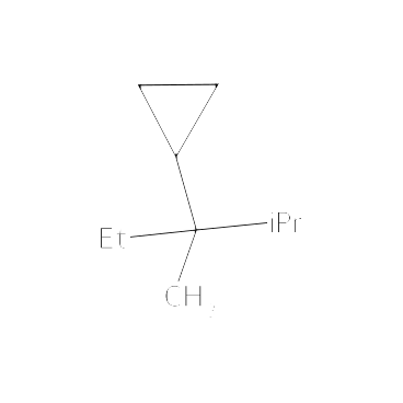 [CH2]CC(C)(C(C)C)C1CC1